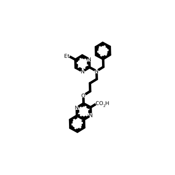 CCc1cnc(N(CCCOc2nc3ccccc3nc2C(=O)O)Cc2ccccc2)nc1